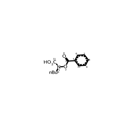 CCCCN(OC(=O)c1ccccc1)C(=O)O